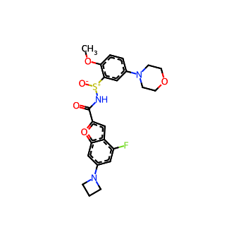 COc1ccc(N2CCOCC2)cc1[S+]([O-])NC(=O)c1cc2c(F)cc(N3CCC3)cc2o1